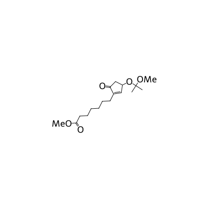 COC(=O)CCCCCCC1=CC(OC(C)(C)OC)CC1=O